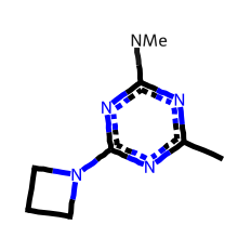 CNc1nc(C)nc(N2CCC2)n1